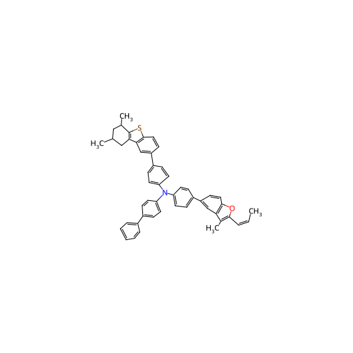 C/C=C\c1oc2ccc(-c3ccc(N(c4ccc(-c5ccccc5)cc4)c4ccc(-c5ccc6sc7c(c6c5)CC(C)CC7C)cc4)cc3)cc2c1C